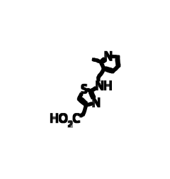 Cc1ncccc1CNc1nc(CC(=O)O)cs1